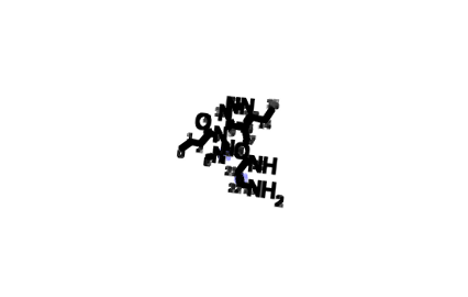 CCCC(=O)N(/N=N\C)c1nnnc(CC)c1COC(=N)/C=C\N